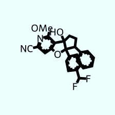 COc1nc(C#N)cc2c1C1(O)CCC(c3ccccc3)C1(c1ccc(C(F)F)cc1)O2